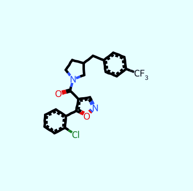 O=C(c1cnoc1-c1ccccc1Cl)N1CCC(Cc2ccc(C(F)(F)F)cc2)C1